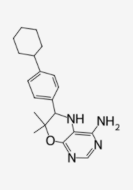 CC1(C)Oc2ncnc(N)c2NC1c1ccc(C2CCCCC2)cc1